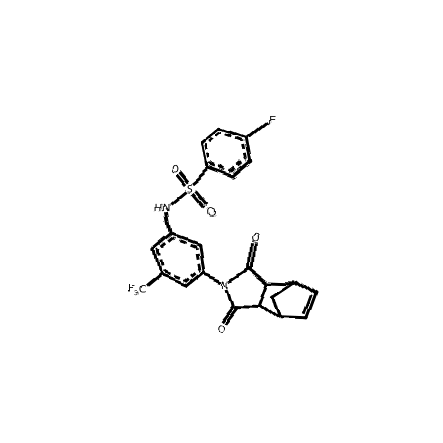 O=C1C2C3C=CC(C3)C2C(=O)N1c1cc(NS(=O)(=O)c2ccc(F)cc2)cc(C(F)(F)F)c1